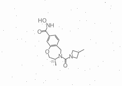 CC1CN(C(=O)N2Cc3ccc(C(=O)NO)cc3OC[C@@H]2C)C1